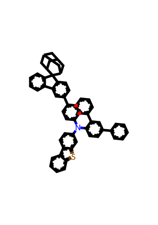 c1ccc(-c2ccc(N(c3ccc(-c4ccc5c(c4)-c4ccccc4C54C5CC6CC(C5)CC4C6)cc3)c3ccc4c(c3)sc3ccccc34)c(-c3ccccc3)c2)cc1